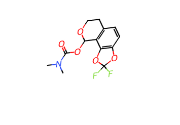 CN(C)C(=O)OC1OCCc2ccc3c(c21)OC(F)(F)O3